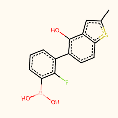 Cc1cc2c(O)c(-c3cccc(B(O)O)c3F)ccc2s1